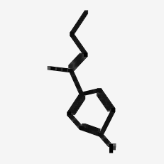 CC/C=C(\C)c1ccc(F)cc1